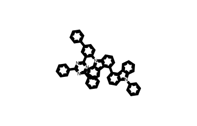 c1ccc(-c2ccc(-n3c4ccccc4c4c(-c5cccc6c5c5ccccc5n6-c5ccccc5)cccc43)c(-c3nc(-c4ccccc4)nc(-c4ccccc4)n3)c2)cc1